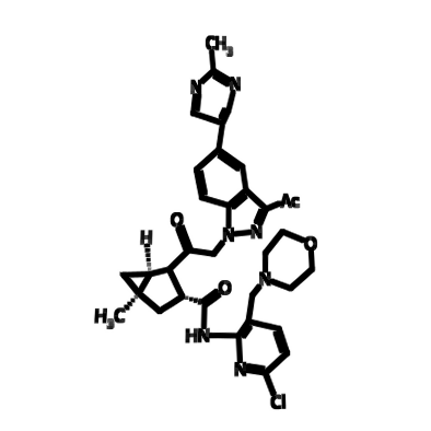 CC(=O)c1nn(CC(=O)C2[C@H](C(=O)Nc3nc(Cl)ccc3CN3CCOCC3)C[C@@]3(C)C[C@@H]23)c2ccc(-c3cnc(C)nc3)cc12